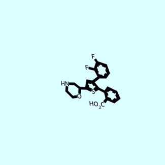 O=C(O)c1ccccc1-c1sc(C2CNCCO2)cc1-c1cccc(F)c1F